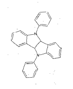 c1ccc(N2c3ccccc3C3C2c2ccccc2N3c2ccccc2)cc1